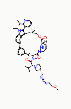 CCn1c(-c2cccnc2C(C)C)c2c3cc(ccc31)-c1cccc(c1)C[C@H](NC(=O)[C@H](C(C)C)N1CC[C@H](CN=C=NCCOC)C1)C(=O)N1CCC[C@H](N1)C(=O)OCC(C)(C)C2